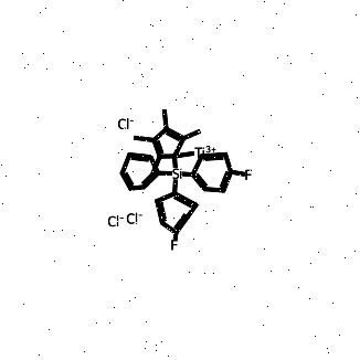 CC1=C(C)[C]([Ti+3])([Si](c2ccccc2)(c2ccc(F)cc2)c2ccc(F)cc2)C(C)=C1C.[Cl-].[Cl-].[Cl-]